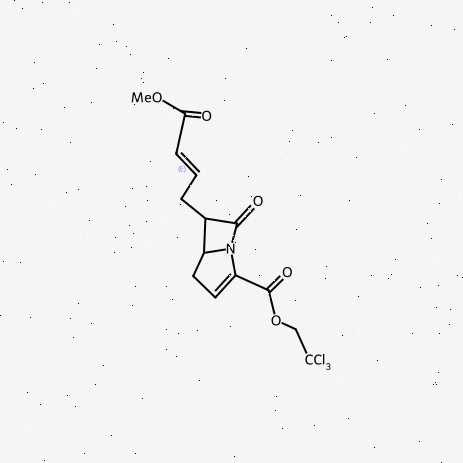 COC(=O)/C=C/CC1C(=O)N2C(C(=O)OCC(Cl)(Cl)Cl)=CCC12